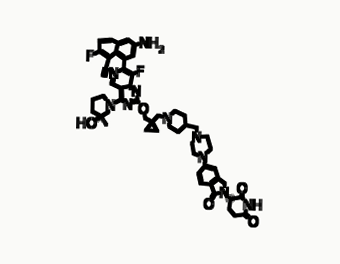 C#Cc1c(F)ccc2cc(N)cc(-c3ncc4c(N5CCC[C@@](C)(O)C5)nc(OCC5(CN6CCC(CN7CCN(c8ccc9c(c8)CN([C@H]8CCC(=O)NC8=O)C9=O)CC7)CC6)CC5)nc4c3F)c12